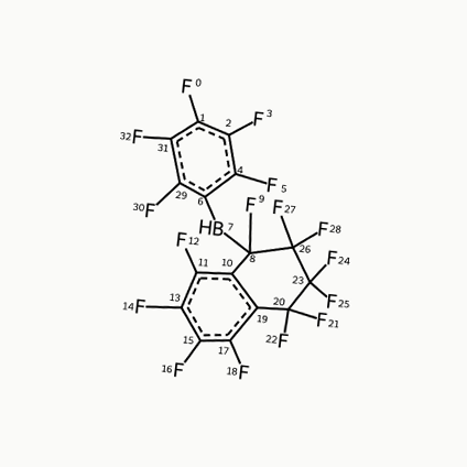 Fc1c(F)c(F)c(BC2(F)c3c(F)c(F)c(F)c(F)c3C(F)(F)C(F)(F)C2(F)F)c(F)c1F